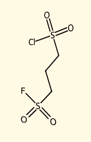 O=S(=O)(F)CCCS(=O)(=O)Cl